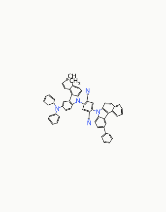 C#C/C=C\c1c(C)ccc2c1c1cc(N(c3ccccc3)C3C=CC=CC3)ccc1n2-c1cc(C#N)c(-n2c3ccc(-c4ccccc4)cc3c3c4ccccc4ccc32)cc1C#N